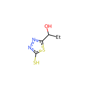 CCC(O)c1nnc(S)s1